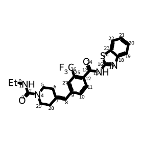 CCNC(=O)N1CCC(=Cc2ccc(C(=O)Nc3nc4ccccc4s3)c(C(F)(F)F)c2)CC1